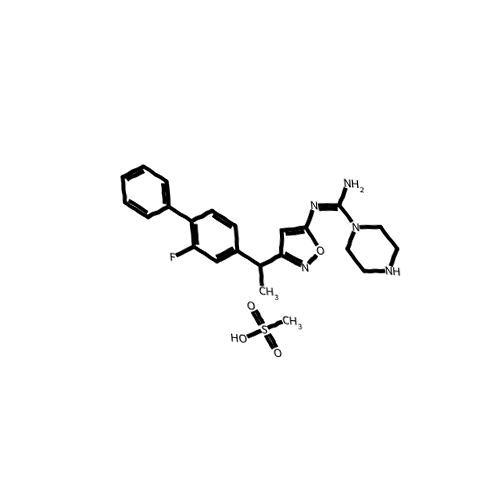 CC(c1ccc(-c2ccccc2)c(F)c1)c1cc(/N=C(/N)N2CCNCC2)on1.CS(=O)(=O)O